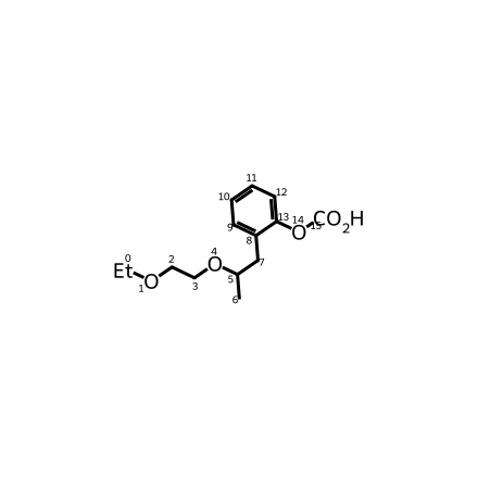 CCOCCOC(C)Cc1ccccc1OC(=O)O